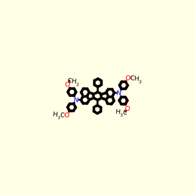 COc1ccc(N(c2ccc(OC)cc2)c2ccc3c4c(-c5ccccc5)c5c6cccc7c(N(c8ccc(OC)cc8)c8ccc(OC)cc8)ccc(c5c(-c5ccccc5)c4c4cccc2c43)c76)cc1